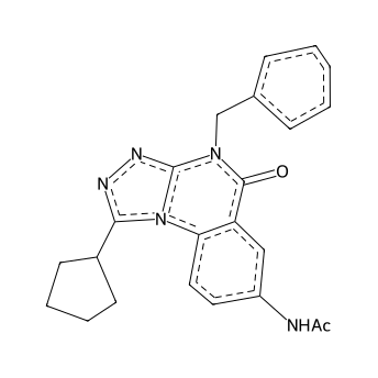 CC(=O)Nc1ccc2c(c1)c(=O)n(Cc1ccccc1)c1nnc(C3CCCC3)n21